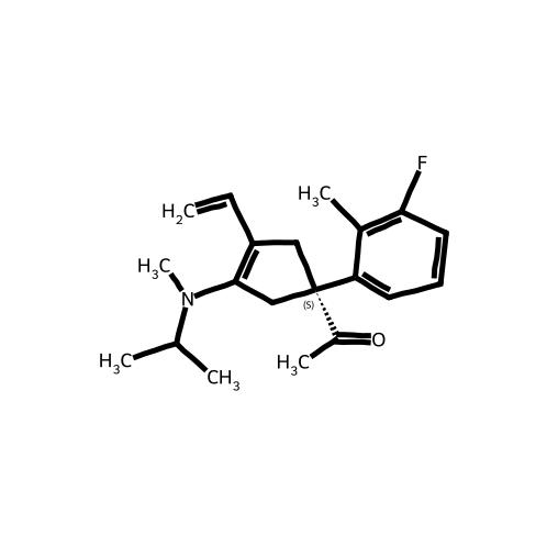 C=CC1=C(N(C)C(C)C)C[C@](C(C)=O)(c2cccc(F)c2C)C1